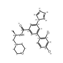 C[C@H](CN1CCOCC1)NC(=O)c1cc(-c2ccc(Cl)cc2Cl)cc(-n2cnnn2)c1